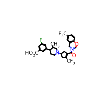 CC1CN([C@H]2CC(C(=O)N3COc4ccc(C(F)(F)F)cc4C3)=C(C(F)(F)F)C2)CCC1c1cc(F)cc(C(=O)O)c1